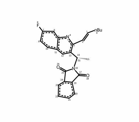 CCCCC=Cc1nc2cc(F)ccc2cc1[C@H](C)N1C(=O)c2ccccc2C1=O